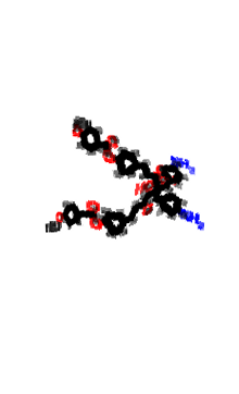 CCCCOC1CCC(C(=O)Oc2ccc(C=CC(=O)CC(Cc3ccc(N)cc3)(Cc3ccc(N)cc3)C(O)(O)C(=O)C=Cc3ccc(OC(=O)C4CCC(OCCCC)CC4)cc3)cc2)CC1